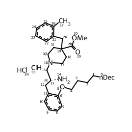 CCCCCCCCCCCCCCOc1ccccc1C[C@@H](N)CN1CCC(Cc2ccccc2C)(C(=O)OC)CC1.Cl.Cl